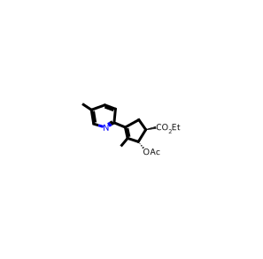 CCOC(=O)[C@@H]1CC(c2ccc(C)cn2)=C(C)[C@H]1OC(C)=O